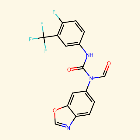 O=CN(C(=O)Nc1ccc(F)c(C(F)(F)F)c1)c1ccc2ncoc2c1